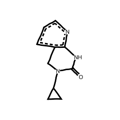 O=C1Nc2ncccc2CN1C1CC1